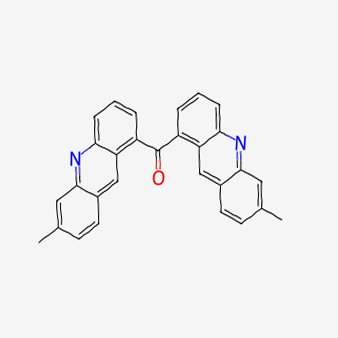 Cc1ccc2cc3c(C(=O)c4cccc5nc6cc(C)ccc6cc45)cccc3nc2c1